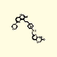 O=C1COc2ccc(CNC34CCC(CCc5c(F)cnc6ccc(N7CCOCC7)nc56)(CC3)OC4)nc2N1